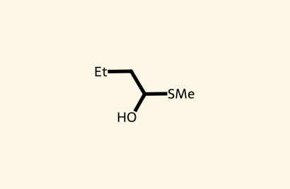 CCC[C](O)SC